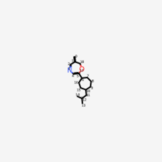 C=C1C=NC=C(C2CCCC(C[C](C)C)CC2)OC1